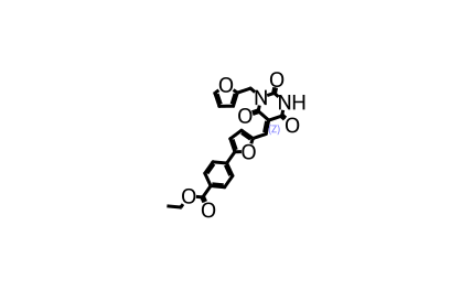 CCOC(=O)c1ccc(-c2ccc(/C=C3/C(=O)NC(=O)N(Cc4ccco4)C3=O)o2)cc1